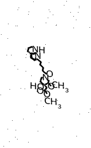 CCOC(=O)CC1(O)CCN(C(=O)CCCCc2ccc3c(n2)NCCC3)CC1OC